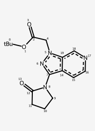 CC(C)(C)OC(=O)Cn1nc(N2CCCC2=O)c2ccncc21